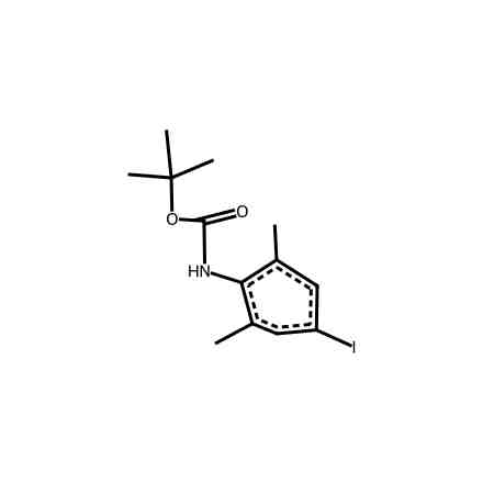 Cc1cc(I)cc(C)c1NC(=O)OC(C)(C)C